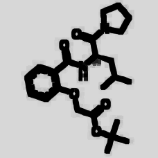 CC(C)C[C@@H](NC(=O)c1ccccc1OCC(=O)OC(C)(C)C)C(=O)N1CCCC1